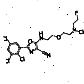 CN(CCF)CCOCCNc1oc(-c2cc(Cl)cc(Cl)c2Cl)nc1C#N